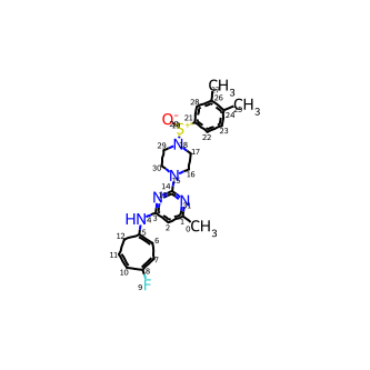 Cc1cc(NC2=CC=C(F)C=CC2)nc(N2CCN([S+]([O-])c3ccc(C)c(C)c3)CC2)n1